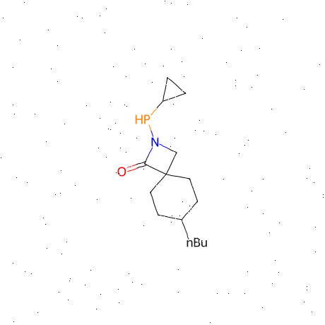 CCCCC1CCC2(CC1)CN(PC1CC1)C2=O